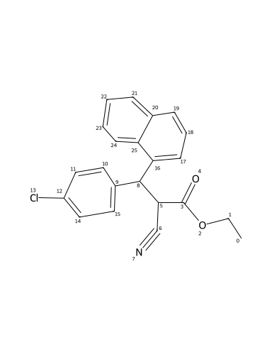 CCOC(=O)C(C#N)C(c1ccc(Cl)cc1)c1cccc2ccccc12